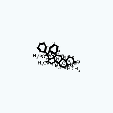 COC(c1ccccc1)(c1ccccc1)C1C(C)C[C@H]2[C@@H]3CC[C@H]4N(C)C(=O)CC[C@]4(C)[C@H]3CC[C@]12C